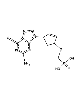 Nc1nc2c(ncn2C2C=CC(OCP(=O)(O)O)C2)c(=O)[nH]1